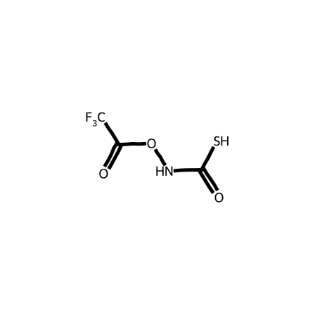 O=C(S)NOC(=O)C(F)(F)F